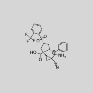 N#CC1(C(N)=O)CC1[C@@]1(C(=O)O)C[C@H](S(=O)(=O)c2ccccc2C(F)(F)F)C[C@@H]1Oc1ccccc1